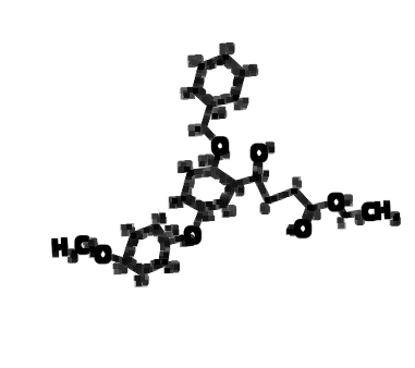 CCOC(=O)CCC(=O)c1cc(Oc2ccc(OC)cc2)ccc1OCc1ccccc1